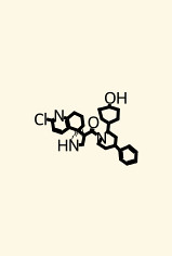 O=C(C1CNC[C@]12CCCc1nc(Cl)ccc12)N1CCC(c2ccccc2)CC1C1CCC(O)CC1